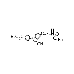 CCOC(=O)c1ccc(-n2cc(C#N)c3cc(OCCCNC(=O)OC(C)(C)C)ccc32)cc1